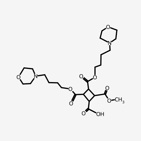 COC(=O)C1C(C(=O)O)C(C(=O)OCCCCN2CCOCC2)C1C(=O)OCCCCN1CCOCC1